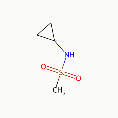 CS(=O)(=O)N[C]1CC1